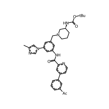 CC(=O)c1cccc(-c2ccnc(C(=O)Nc3cc(CN4CCC[C@H](NC(=O)OC(C)(C)C)C4)cc(-n4cnc(C)c4)c3)c2)c1